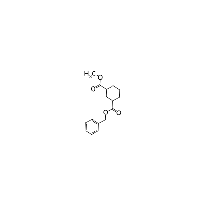 COC(=O)C1CCCC(C(=O)OCc2ccccc2)C1